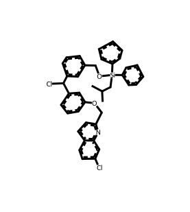 CC(C)C[Si](OCc1cccc(C(Cl)c2cccc(OCc3ccc4ccc(Cl)cc4n3)c2)c1)(c1ccccc1)c1ccccc1